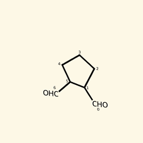 O=CC1CCCC1C=O